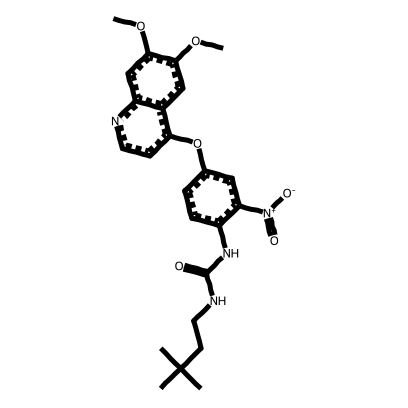 COc1cc2nccc(Oc3ccc(NC(=O)NCCC(C)(C)C)c([N+](=O)[O-])c3)c2cc1OC